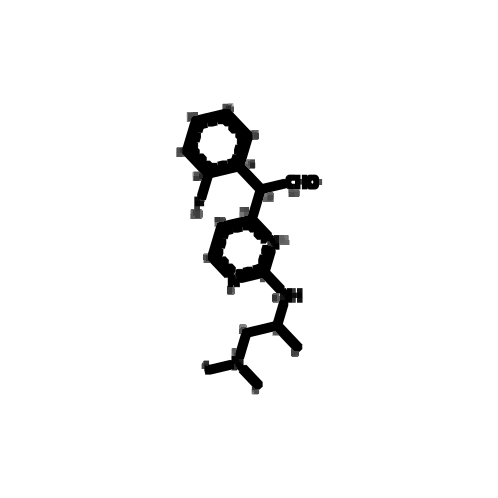 CC(CN(C)C)Nc1nccc(C([C]=O)c2ccccc2F)n1